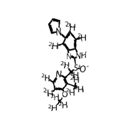 [2H]c1nc(C([2H])([2H])[S+]([O-])c2nc3c([2H])c(-n4cccc4)c([2H])c([2H])c3[nH]2)c(C([2H])([2H])[2H])c(OC([2H])([2H])[2H])c1[2H]